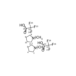 CN1CCCC1.CN1CCCC1.O=C(O)C(F)(F)F.O=C(O)C(F)(F)F